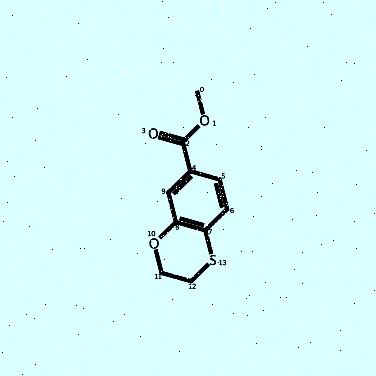 COC(=O)c1ccc2c(c1)OCCS2